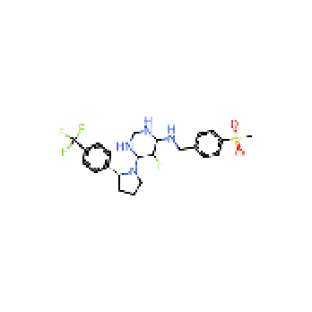 CS(=O)(=O)c1ccc(CNC2NCNC(N3CCC[C@@H]3c3ccc(C(F)(F)F)cc3)C2F)cc1